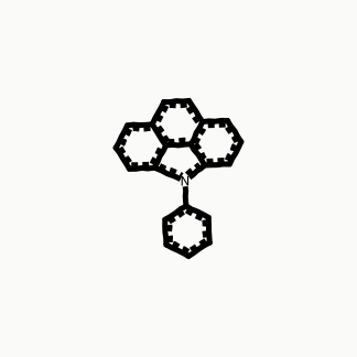 c1ccc(-n2c3cccc4ccc5cccc2c5c43)cc1